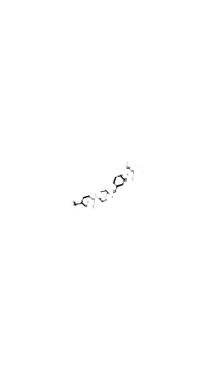 CC1Oc2ccc(CN3CCN(c4ccc(C(=O)O)cn4)CC3)cc2NC1=O